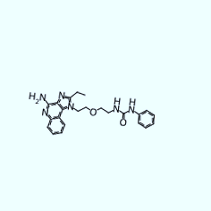 CCc1nc2c(N)nc3ccccc3c2n1CCOCCNC(=O)Nc1ccccc1